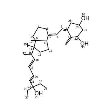 C=C1C(=CC=C2CCCC3(C)C2CCC3(I)C(C)C=CC=CC(O)(CC)CC)CC(O)CC1O